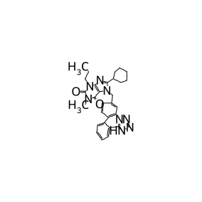 CCCn1c(=O)n(C)c(=O)c2c1nc(C1CCCCC1)n2Cc1ccc(-c2ccccc2-c2nnn[nH]2)cc1